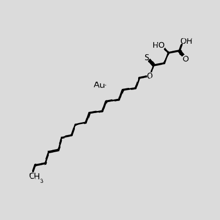 CCCCCCCCCCCCCCCCOC(=S)CC(O)C(=O)O.[Au]